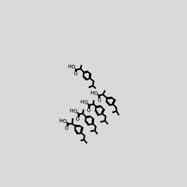 CC(C)Cc1ccc(C(C)C(=O)O)cc1.CC(C)Cc1ccc(C(C)C(=O)O)cc1.CC(C)Cc1ccc(C(C)C(=O)O)cc1.CC(C)Cc1ccc(C(C)C(=O)O)cc1.CC(C)Cc1ccc(C(C)C(=O)O)cc1